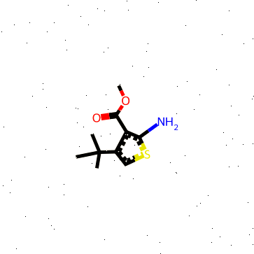 COC(=O)c1c(C(C)(C)C)csc1N